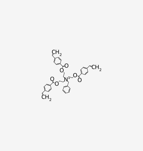 C=Cc1ccc(C(=O)OCC[N+](CCOC(=O)c2ccc(C=C)cc2)(CCOC(=O)c2ccc(C=C)cc2)Cc2ccccc2)cc1